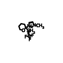 Cn1cc[n+](C2([SiH3])CCCCO2)c1.F[B-](F)(F)F